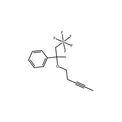 CC#CCCOC(C)(CS(F)(F)(F)(F)F)c1ccccc1